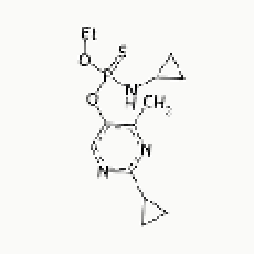 CCOP(=S)(NC1CC1)Oc1cnc(C2CC2)nc1C